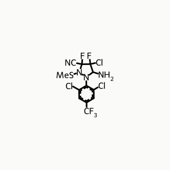 CSN1N(c2c(Cl)cc(C(F)(F)F)cc2Cl)C(N)C(F)(Cl)C1(F)C#N